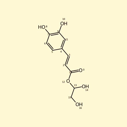 O=C(C=Cc1ccc(O)c(O)c1)OC(O)CO